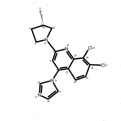 F[C@H]1CCN(c2cc(-n3ccnc3)c3ccc(Cl)c(Cl)c3n2)C1